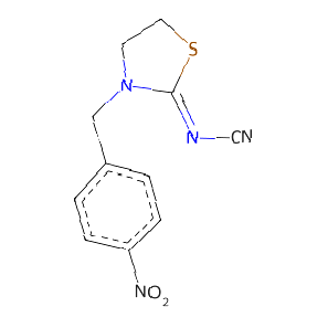 N#CN=C1SCCN1Cc1ccc([N+](=O)[O-])cc1